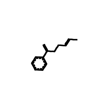 C=C(CCC=CC)c1ccccc1